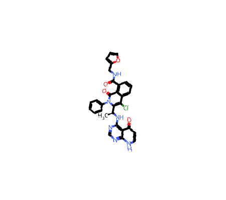 C[C@H](Nc1ncnc2[nH]ccc(=O)c12)c1c(Cl)c2cccc(C(=O)NCc3ccco3)c2c(=O)n1-c1ccccc1